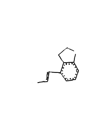 CCOC(=O)/C=C/c1cccc2c1CCO2